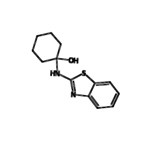 OC1(Nc2nc3ccccc3s2)CCCCC1